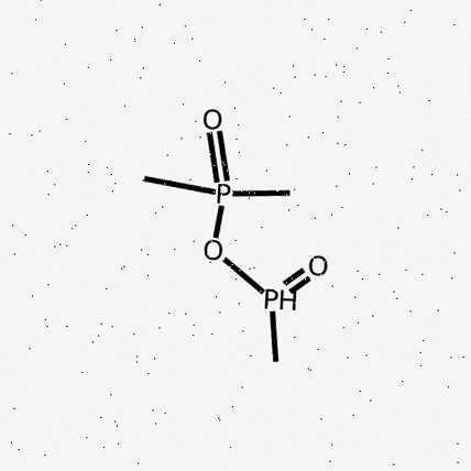 C[PH](=O)OP(C)(C)=O